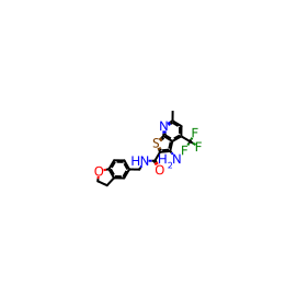 Cc1cc(C(F)(F)F)c2c(N)c(C(=O)NCc3ccc4c(c3)CCO4)sc2n1